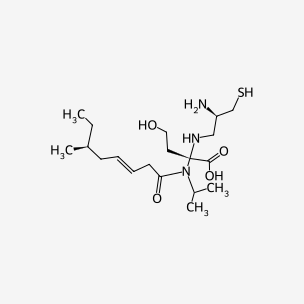 CC[C@H](C)C/C=C/CC(=O)N(C(C)C)[C@](CCO)(NC[C@@H](N)CS)C(=O)O